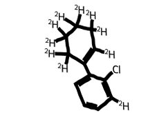 [2H]C1=C(c2cccc([2H])c2Cl)C([2H])([2H])C([2H])([2H])C([2H])([2H])C1([2H])[2H]